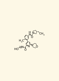 CC[C@@H]1CCN(C(=O)Nc2ccc(C)c(-c3cc(C(=O)NCCO)nc(N4CCOCC4)c3)c2)C1